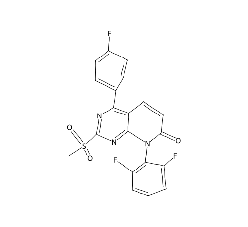 CS(=O)(=O)c1nc(-c2ccc(F)cc2)c2ccc(=O)n(-c3c(F)cccc3F)c2n1